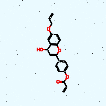 C=CCOc1ccc2c(c1)C(O)C=C(c1ccc(OC(=O)C=C)cc1)O2